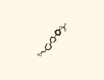 COCC[C@H]1CC[C@H]([C@H]2CC[C@H](c3ccc(OC(F)F)cc3)CC2)CC1